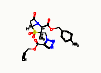 C#CCOC(=O)c1cnnn1C[C@@]1(C)[C@H](C(=O)OCc2ccc([N+](=O)[O-])cc2)N2C(=O)C[C@@H]2S1(=O)=O